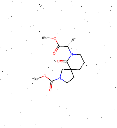 CC(C)[C@@H](C(=O)OC(C)(C)C)N1CCCC2(CCN(C(=O)OC(C)(C)C)C2)C1=O